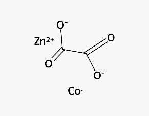 O=C([O-])C(=O)[O-].[Co].[Zn+2]